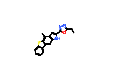 CCc1nnc(-c2cc3c(C)c4sc5ccccc5c4cc3[nH]2)o1